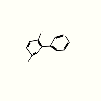 CCc1ccc(O)c(-c2cccnc2)c1